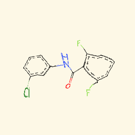 O=C(Nc1cccc(Cl)c1)c1c(F)cccc1F